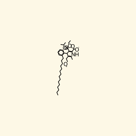 CCCCCCCCCCCCCCCc1cccc(OC(C)C)c1C1C(CCOC)=C(C)NC(C(=O)OC)=C1C(=O)OCC